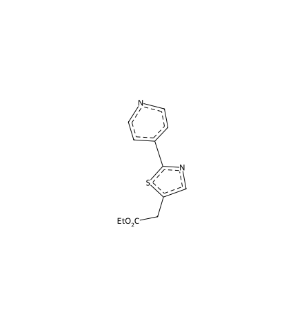 CCOC(=O)Cc1cnc(-c2ccncc2)s1